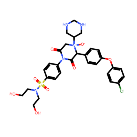 O=C1C[N+]([O-])(C2CNCNC2)C(c2ccc(Oc3ccc(Cl)cc3)cc2)C(=O)N1c1ccc(S(=O)(=O)N(CCO)CCO)cc1